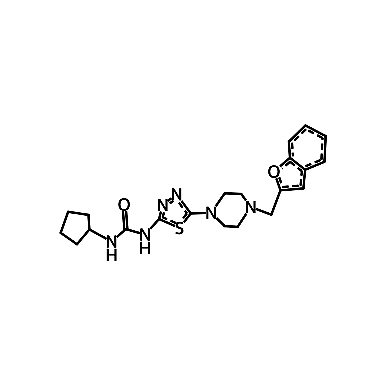 O=C(Nc1nnc(N2CCN(Cc3cc4ccccc4o3)CC2)s1)NC1CCCC1